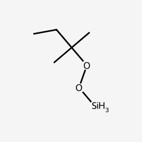 CCC(C)(C)OO[SiH3]